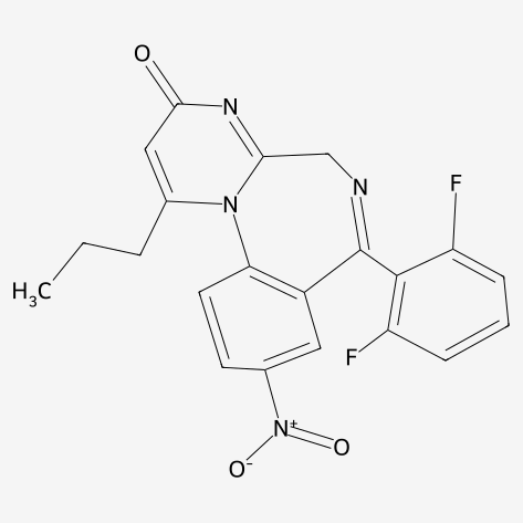 CCCc1cc(=O)nc2n1-c1ccc([N+](=O)[O-])cc1C(c1c(F)cccc1F)=NC2